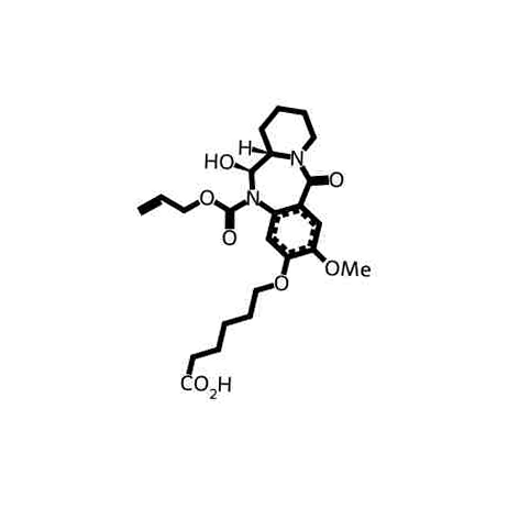 C=CCOC(=O)N1c2cc(OCCCCCC(=O)O)c(OC)cc2C(=O)N2CCCC[C@H]2[C@@H]1O